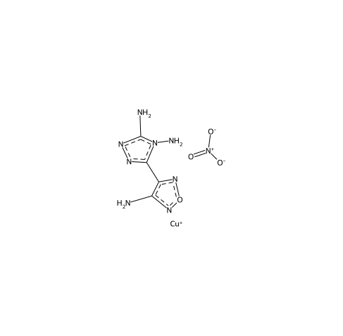 Nc1nonc1-c1nnc(N)n1N.O=[N+]([O-])[O-].[Cu+]